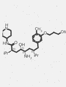 COCCCOc1cc(C[C@@H](C[C@H](N)[C@@H](O)C[C@H](C(=O)NC2CCNCC2)C(C)C)C(C)C)ccc1C